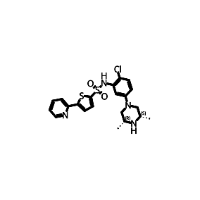 C[C@@H]1CN(c2ccc(Cl)c(NS(=O)(=O)c3ccc(-c4ccccn4)s3)c2)C[C@H](C)N1